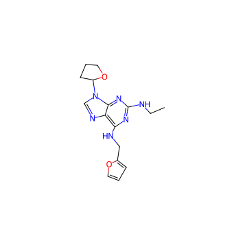 CCNc1nc(NCc2ccco2)c2ncn(C3CCCO3)c2n1